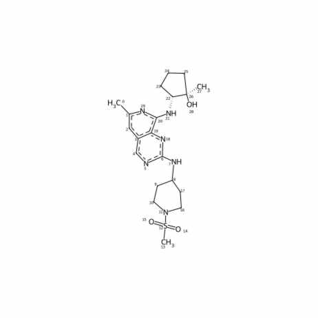 Cc1cc2cnc(NC3CCN(S(C)(=O)=O)CC3)nc2c(N[C@@H]2CCC[C@@]2(C)O)n1